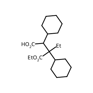 CCOC(=O)C(CC)(C1CCCCC1)C(C(=O)O)C1CCCCC1